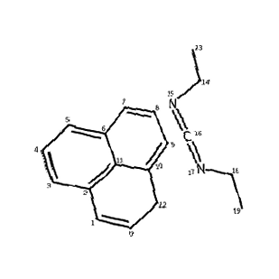 C1=Cc2cccc3cccc(c23)C1.CCN=C=NCC